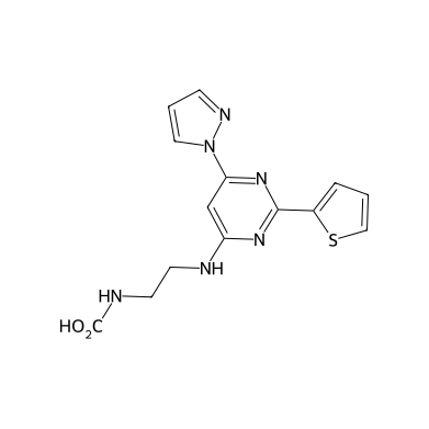 O=C(O)NCCNc1cc(-n2cccn2)nc(-c2cccs2)n1